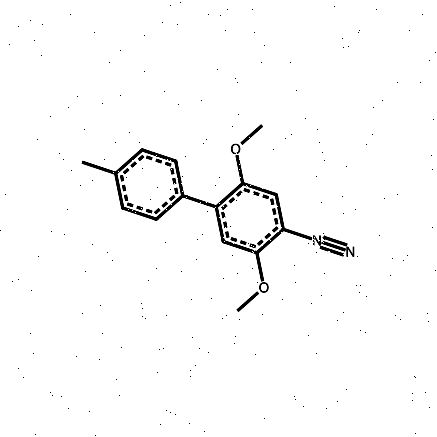 COc1cc(-c2ccc(C)cc2)c(OC)cc1[N+]#N